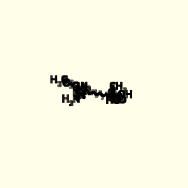 CCOP(=O)(CCCCCCCn1cnc2c(OCCOC)nc(N)nc21)CP(=O)(O)O